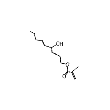 C=C(C)C(=O)OCCCC(O)CCCCC